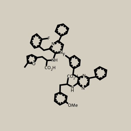 COc1cccc(CC(Nc2ncc(-c3ccccc3)nc2Cc2cccc(F)c2)C(=O)O)c1.Cc1ccc(CC(Nc2ncc(-c3ccccc3)nc2Cc2ccccc2F)C(=O)O)o1